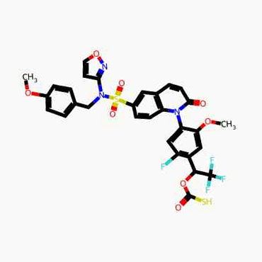 COc1ccc(CN(c2ccon2)S(=O)(=O)c2ccc3c(ccc(=O)n3-c3cc(F)c(C(OC(=O)S)C(F)(F)F)cc3OC)c2)cc1